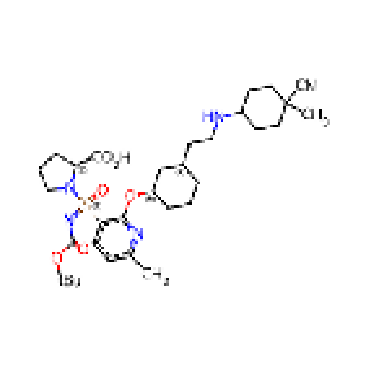 Cc1ccc([S@](=O)(=NC(=O)OC(C)(C)C)N2CCC[C@H]2C(=O)O)c(O[C@@H]2CCC[C@H](CCNC3CCC(C)(C#N)CC3)C2)n1